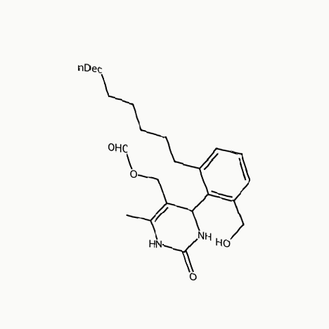 CCCCCCCCCCCCCCCc1cccc(CO)c1C1NC(=O)NC(C)=C1COC=O